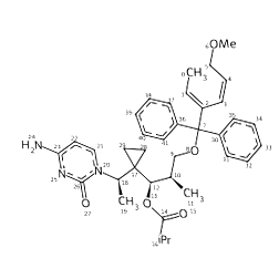 C/C=C(\C=C/COC)C(OC[C@@H](C)[C@@H](OC(=O)C(C)C)C1([C@@H](C)n2ccc(N)nc2=O)CC1)(c1ccccc1)c1ccccc1